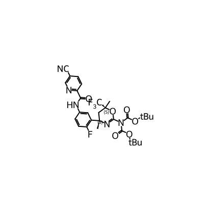 CC(C)(C)OC(=O)N(C(=O)OC(C)(C)C)C1=N[C@](C)(c2cc(NC(=O)c3ccc(C#N)cn3)ccc2F)C[C@@](C)(C(F)(F)F)O1